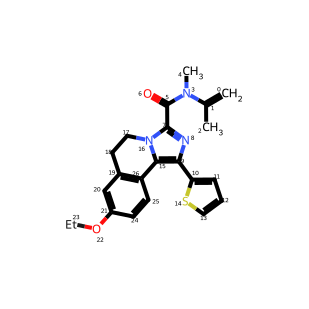 C=C(C)N(C)C(=O)c1nc(-c2cccs2)c2n1CCc1cc(OCC)ccc1-2